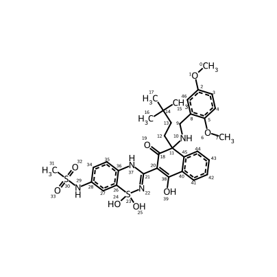 COc1ccc(OC)c(CNC2(CCC(C)(C)C)C(=O)C(C3=NS(O)(O)c4cc(NS(C)(=O)=O)ccc4N3)=C(O)c3ccccc32)c1